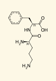 NCCC[C@@H](N)C(=O)N[C@@H](Cc1ccccc1)C(=O)O